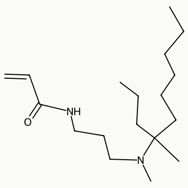 C=CC(=O)NCCCN(C)C(C)(CCC)CCCCCC